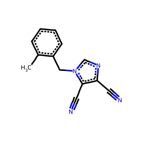 Cc1ccccc1Cn1cnc(C#N)c1C#N